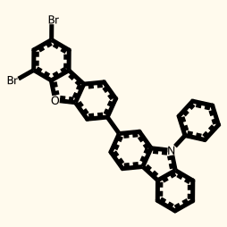 Brc1cc(Br)c2oc3cc(-c4ccc5c6ccccc6n(-c6ccccc6)c5c4)ccc3c2c1